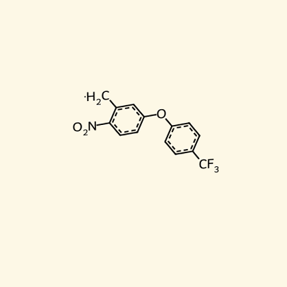 [CH2]c1cc(Oc2ccc(C(F)(F)F)cc2)ccc1[N+](=O)[O-]